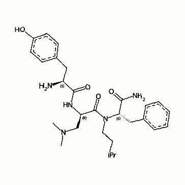 CC(C)CCN(C(=O)[C@@H](CN(C)C)NC(=O)[C@@H](N)Cc1ccc(O)cc1)[C@@H](Cc1ccccc1)C(N)=O